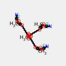 C=C(C(=O)Oc1ccc(C#N)c(F)c1)c1ccc(OCCCCCCCCCC(=O)OC(CC)(OC(=O)CCCCCCCCCOc2ccc(C(=C)C(=O)Oc3ccc(C#N)c(F)c3)cc2)OC(=O)CCCCCCCCCOc2ccc(C(=C)C(=O)Oc3ccc(C#N)c(F)c3)cc2)cc1